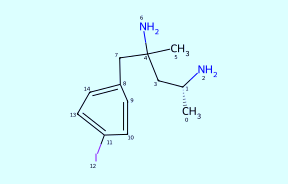 C[C@@H](N)CC(C)(N)Cc1ccc(I)cc1